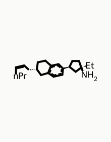 CCC/C=C\C[C@@H]1CCc2cc([C@H]3CC[C@](N)(CC)C3)ccc2C1